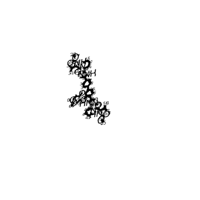 COCCOc1c(-c2ccc(-c3cnc([C@@H]4CCCCN4C(=O)[C@@H](NC(=O)OC)C(C)C)[nH]3)cc2)ccc(-c2cnc([C@@H]3CCCCN3C(=O)[C@@H](NC(=O)OC)C(C)C)[nH]2)c1OCCOC